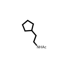 CC(=O)NCC[C]1CCCC1